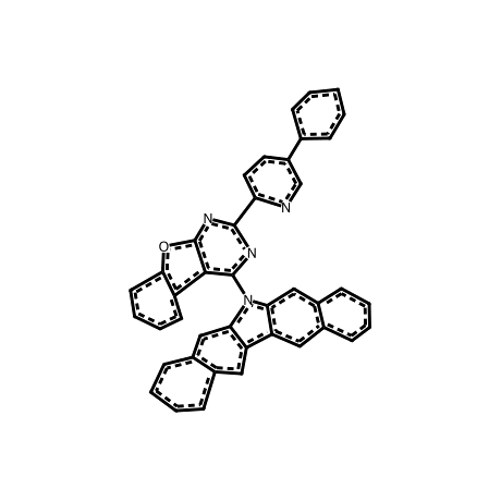 c1ccc(-c2ccc(-c3nc(-n4c5cc6ccccc6cc5c5cc6ccccc6cc54)c4c(n3)oc3ccccc34)nc2)cc1